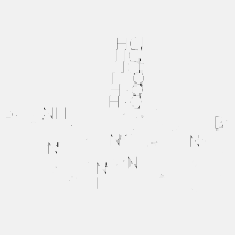 CC(C)C(N)CN1CCC(NC2=NC3=C(C4CCCc5ccc(Br)nc54)C=CCC3=N2)CC1.Cl.Cl.Cl.O.O.O